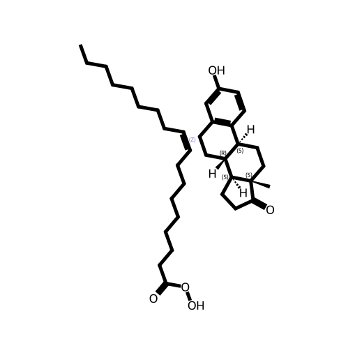 CCCCCCCC/C=C\CCCCCCCC(=O)OO.C[C@]12CC[C@@H]3c4ccc(O)cc4CC[C@H]3[C@@H]1CCC2=O